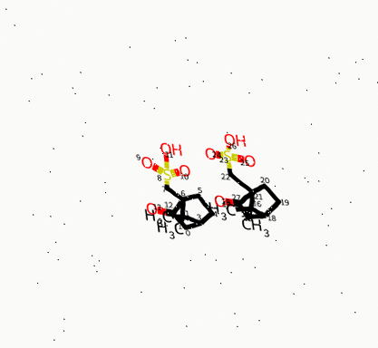 CC1(C)C2CCC1(CS(=O)(=O)O)C(=O)C2.CC1(C)C2CCC1(CS(=O)(=O)O)C(=O)C2